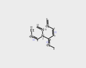 C=N/C=C\C(=N/C)N(/C=N\CC)N=C